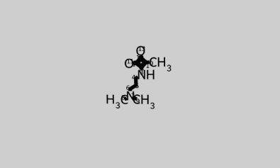 Cc1c(NCCCN(C)C)c(=O)c1=O